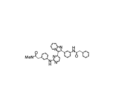 CNC(=O)Cc1cccc(Nc2nccc(-c3c(-c4cccc(NC(=O)Cc5ccccc5)c4)nc4ccccn34)n2)c1